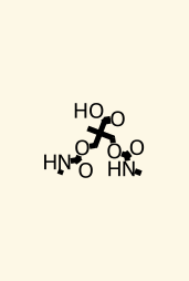 CNC(=O)OCC(C)(COC(=O)NC)C(=O)O